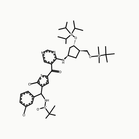 CC(C)[Si](O[C@H]1C[C@H](Nc2ncncc2C(=O)c2cc(C(N[S+]([O-])C(C)(C)C)c3cccc(Cl)c3)c(Cl)s2)C[C@@H]1CO[Si](C)(C)C(C)(C)C)(C(C)C)C(C)C